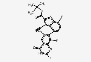 CC(C)(C)OC(=O)c1sc2c(F)ccc(-c3c(Cl)cc4c(=O)[nH]c(Cl)nc4c3F)c2c1C#N